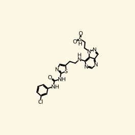 O=C(Nc1cccc(Cl)c1)Nc1ncc(CCNc2ncnc3cnn(CC[SH](=O)=O)c23)s1